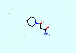 NC(=O)CC(=O)N1CC[CH]CC1